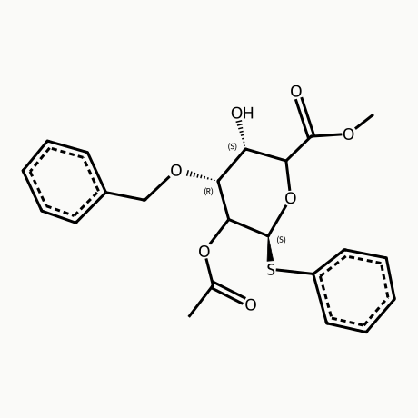 COC(=O)C1O[C@@H](Sc2ccccc2)C(OC(C)=O)[C@H](OCc2ccccc2)[C@@H]1O